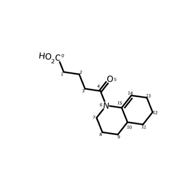 O=C(O)CCCC(=O)N1CCCC2CCCC=C21